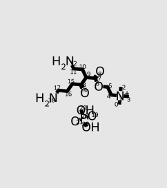 C[N+](C)(C)CCOC(=O)C(CCN)C(=O)CCCN.O=P([O-])(O)O